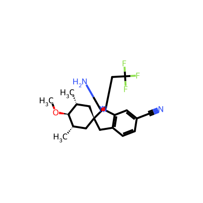 CO[C@H]1[C@H](C)C[C@@]2(Cc3ccc(C#N)cc3[C@]23N=C(N)C(CC(F)(F)F)=N3)C[C@@H]1C